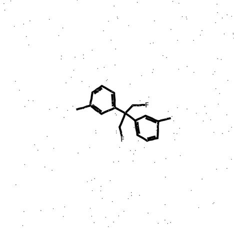 Cc1cccc(C(CF)(CF)c2cccc(C)c2)c1